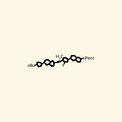 CCCCCc1ccc2cc(-c3cc(C)c(C#Cc4ccc5cc(-c6ccc(CCCC)cc6)ccc5c4)c(F)c3)ccc2c1